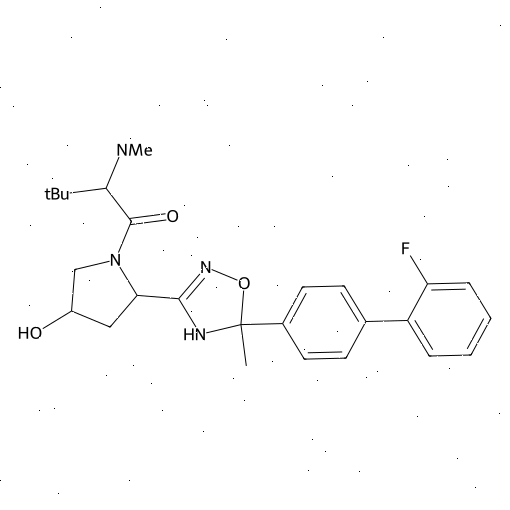 CNC(C(=O)N1CC(O)CC1C1=NOC(C)(c2ccc(-c3ccccc3F)cc2)N1)C(C)(C)C